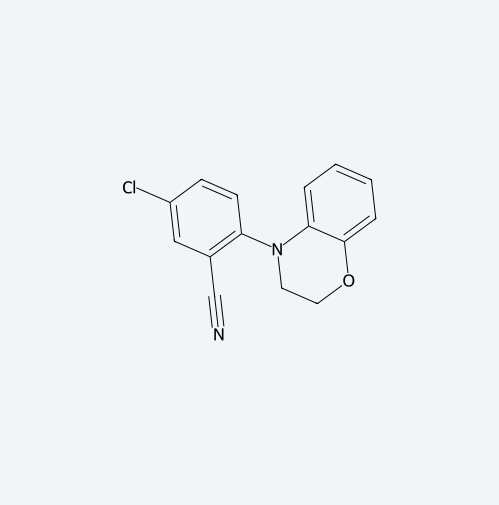 N#Cc1cc(Cl)ccc1N1CCOc2ccccc21